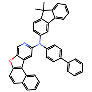 CC1(C)c2ccccc2-c2cc(N(c3ccc(-c4ccccc4)cc3)c3cc4c(cn3)oc3ccc5ccccc5c34)ccc21